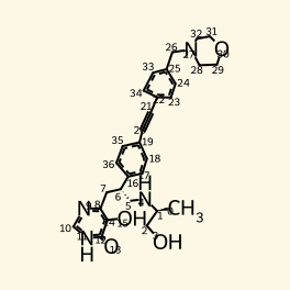 C[C@@H](CO)NC[C@H](Cc1nc[nH]c(=O)c1O)c1ccc(C#Cc2ccc(CN3CCOCC3)cc2)cc1